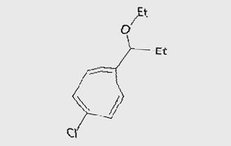 [CH2]CC(OCC)c1ccc(Cl)cc1